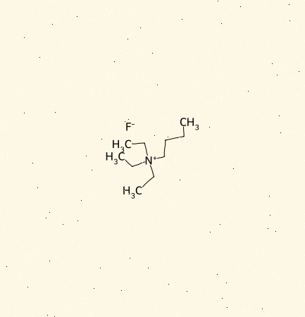 CCCC[N+](CC)(CC)CC.[F-]